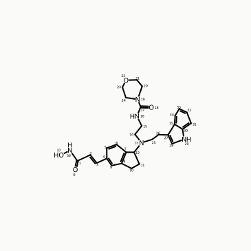 O=C(C=Cc1ccc2c(c1)CCC2N(CCNC(=O)N1CCOCC1)CCc1c[nH]c2ccccc12)NO